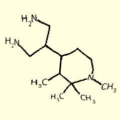 CC1C(C(CN)CN)CCN(C)C1(C)C